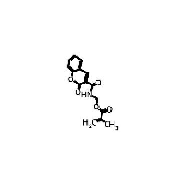 C=C(C)C(=O)OCNC(=O)c1cc2ccccc2oc1=O